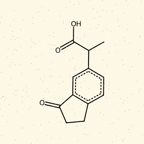 CC(C(=O)O)c1ccc2c(c1)C(=O)CC2